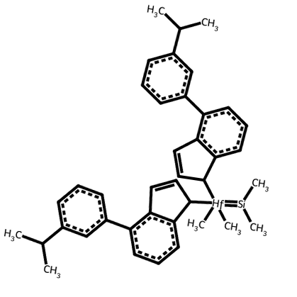 CC(C)c1cccc(-c2cccc3c2C=C[CH]3[Hf]([CH3])([CH3])([CH]2C=Cc3c(-c4cccc(C(C)C)c4)cccc32)=[Si](C)C)c1